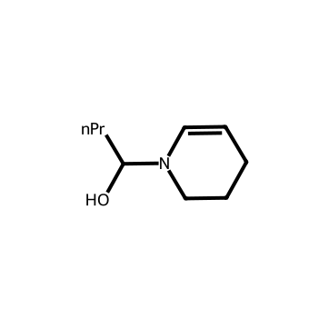 CCCC(O)N1C=CCCC1